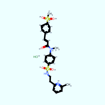 Cc1cccc(CCNS(=O)(=O)c2ccc(N(C)C(=O)/C=C/c3ccc(S(C)(=O)=O)cc3)cc2)n1.Cl